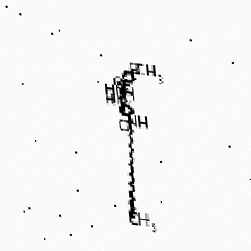 CCCCCCCCCCCCCCCCCCCC(=O)Nc1ccc(NC(=O)NS(=O)(=O)c2ccc(OC)cc2)cc1